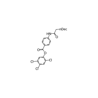 CCCCCCCCCCCC(=O)Nc1ccc(C(=O)Oc2cc(Cl)c(Cl)cc2Cl)cc1